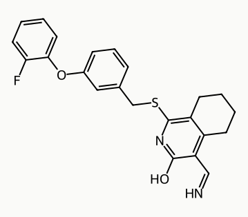 N=Cc1c(O)nc(SCc2cccc(Oc3ccccc3F)c2)c2c1CCCC2